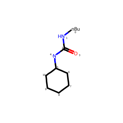 CCCCNC(=O)[N]C1CCCCC1